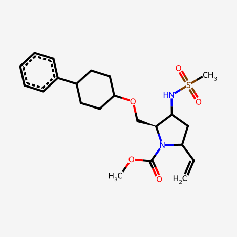 C=CC1CC(NS(C)(=O)=O)[C@H](COC2CCC(c3ccccc3)CC2)N1C(=O)OC